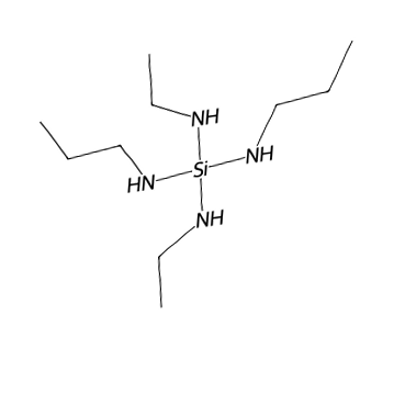 CCCN[Si](NCC)(NCC)NCCC